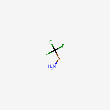 NSC(F)(F)F